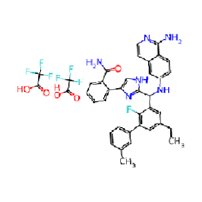 CCc1cc(-c2cccc(C)c2)c(F)c(C(Nc2ccc3c(N)nccc3c2)c2nc(-c3ccccc3C(N)=O)c[nH]2)c1.O=C(O)C(F)(F)F.O=C(O)C(F)(F)F